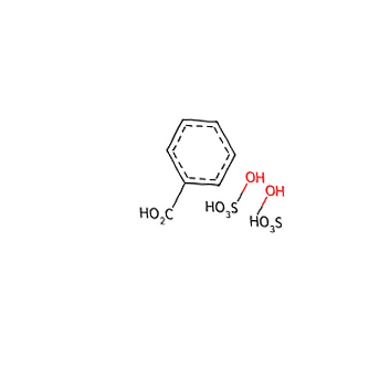 O=C(O)c1ccccc1.O=S(=O)(O)O.O=S(=O)(O)O